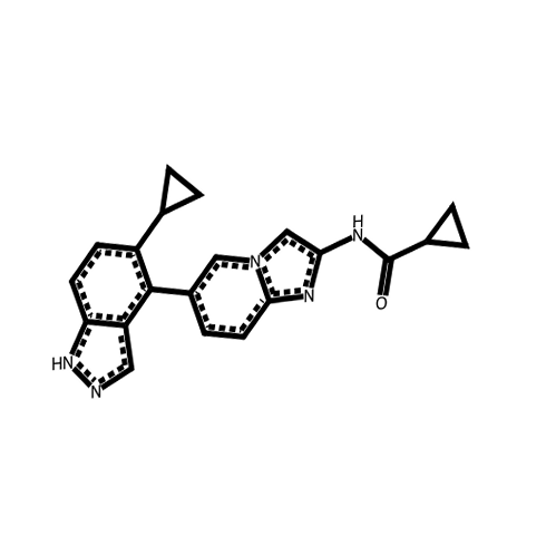 O=C(Nc1cn2cc(-c3c(C4CC4)ccc4[nH]ncc34)ccc2n1)C1CC1